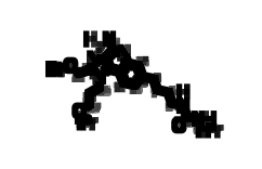 CCCNC(=O)NCCCCc1ccc2c(c1)nc(N)c1nc(COCC)n(CCCOC(C)C)c12